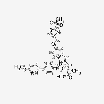 COc1ccc(-c2ccc(Cn3c(CC(C)(C)C(=O)O)cc4cc(OCc5csc(S(C)(=O)=O)n5)ccc43)cc2)nn1